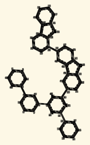 c1ccc(-c2cccc(-c3nc(-c4ccccc4)nc(-c4ccc5oc6ccc(-c7cccc8c7sc7ccccc78)cc6c5c4)n3)c2)cc1